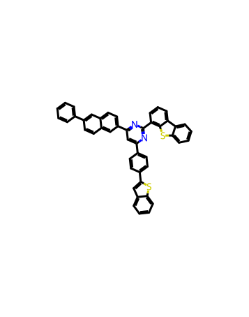 c1ccc(-c2ccc3cc(-c4cc(-c5ccc(-c6cc7ccccc7s6)cc5)nc(-c5cccc6c5sc5ccccc56)n4)ccc3c2)cc1